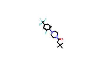 CC(C)(C)CC(=O)N1CCN(c2ccc(C(F)(F)F)cc2F)CC1